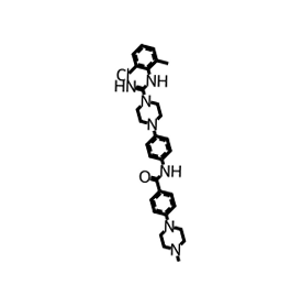 Cc1cccc(Cl)c1NC(=N)N1CCN(c2ccc(NC(=O)c3ccc(N4CCN(C)CC4)cc3)cc2)CC1